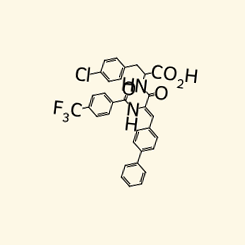 O=C(NC(Cc1ccc(Cl)cc1)C(=O)O)C(=Cc1ccc(-c2ccccc2)cc1)NC(=O)c1ccc(C(F)(F)F)cc1